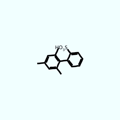 Cc1cc(C)c(-c2ccccc2S(=O)(=O)O)c(C)c1